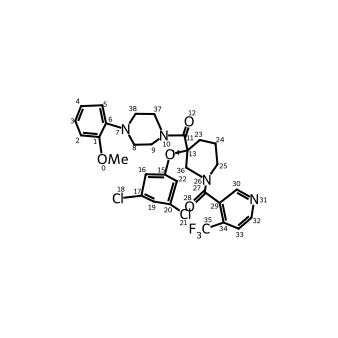 COc1ccccc1N1CCN(C(=O)C2(Oc3cc(Cl)cc(Cl)c3)CCCN(C(=O)c3cnccc3C(F)(F)F)C2)CC1